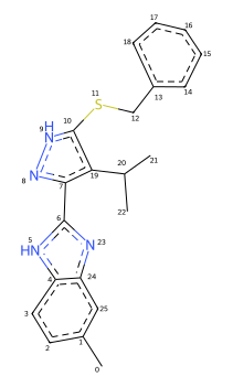 Cc1ccc2[nH]c(-c3n[nH]c(SCc4ccccc4)c3C(C)C)nc2c1